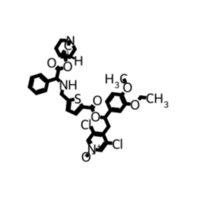 CCOc1cc(C(Cc2c(Cl)c[n+]([O-])cc2Cl)OC(=O)c2ccc(CNC(C(=O)O[C@H]3CN4CCC3CC4)c3ccccc3)s2)ccc1OC